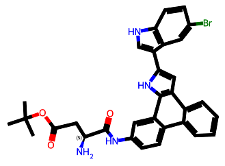 CC(C)(C)OC(=O)C[C@H](N)C(=O)Nc1ccc2c3ccccc3c3cc(-c4c[nH]c5ccc(Br)cc45)[nH]c3c2c1